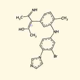 CC(=N)/C(=C(/C)O)c1ccc(C)c(Nc2ccc(-n3ccnc3)c(Br)c2)c1